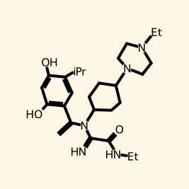 C=C(c1cc(C(C)C)c(O)cc1O)N(C(=N)C(=O)NCC)C1CCC(N2CCN(CC)CC2)CC1